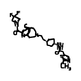 Cc1ncc(CC(=O)N[C@H]2CC[C@H](CCN3CCc4nc(C(=O)N5CC(F)(F)C5)sc4CC3)CC2)s1